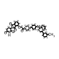 Cc1cccc(-c2cnc(Nc3ccc(N4CCN(C(=O)COc5cccc6c5C(=O)N(C5CCC(=O)NC5=O)C6=O)CC4)cc3)c3nccn23)c1